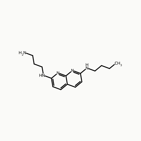 CCCCNc1ccc2ccc(NCCCN)nc2n1